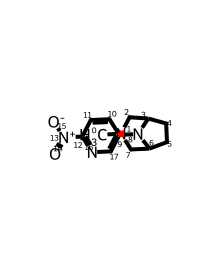 CN1CC2CCC(C1)N2c1ccc([N+](=O)[O-])nc1